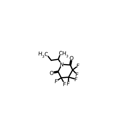 CCC(C)N1C(=O)C(F)(F)C(F)(F)C(F)(F)C1=O